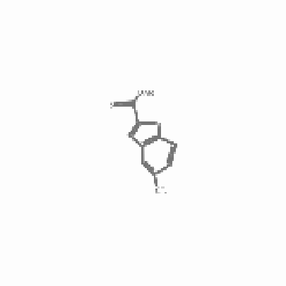 COC(=S)c1cc2cc(C(F)(F)F)ccc2s1